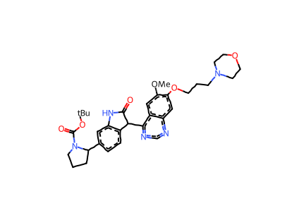 COc1cc2c(C3C(=O)Nc4cc(C5CCCN5C(=O)OC(C)(C)C)ccc43)ncnc2cc1OCCCN1CCOCC1